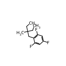 CCC(C)(CC)Cc1c(F)cc(F)cc1F